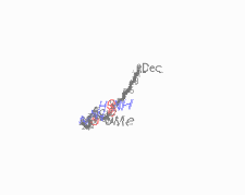 CCCCCCCCCCCCCCCCCCNC(=O)OCC(CNC(=O)N(Cc1ccccn1)C(C)=O)OC